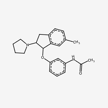 CC(=O)Nc1cccc(OC2c3cc(C)ccc3CC2N2CCCC2)c1